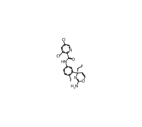 NC1=N[C@](CF)(c2cc(NC(=O)c3ncc(Cl)cc3Cl)ccc2F)C=CO1